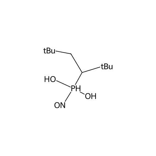 CC(C)(C)CC(C(C)(C)C)[PH](O)(O)N=O